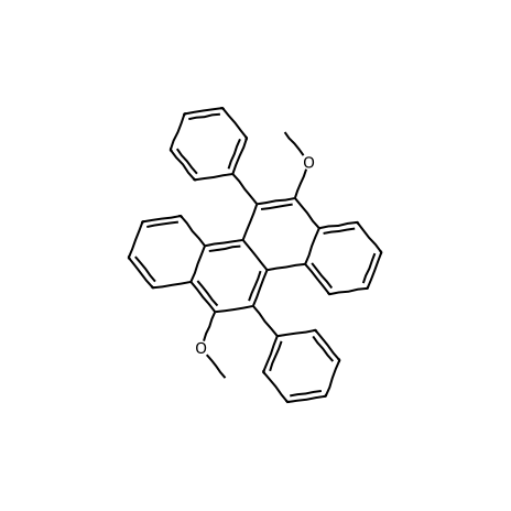 COc1c(-c2ccccc2)c2c3ccccc3c(OC)c(-c3ccccc3)c2c2ccccc12